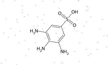 Nc1cc(S(=O)(=O)O)cc(N)c1N